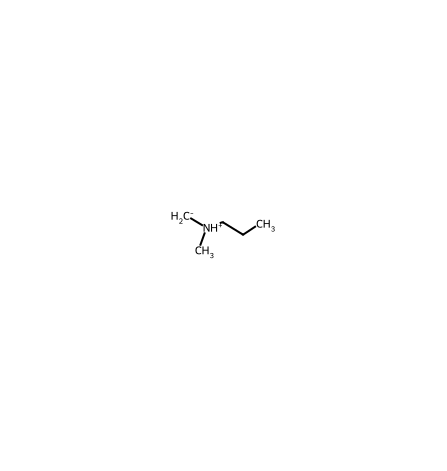 [CH2-][NH+](C)CCC